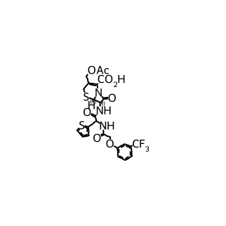 CC(=O)OCC1=C(C(=O)O)N2C(=O)[C@@H](NC(=O)C(NC(=O)COc3cccc(C(F)(F)F)c3)c3cccs3)[C@H]2SC1